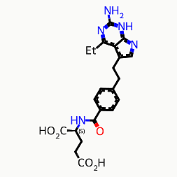 CCc1nc(N)[nH]c2ncc(CCc3ccc(C(=O)N[C@@H](CCC(=O)O)C(=O)O)cc3)c1-2